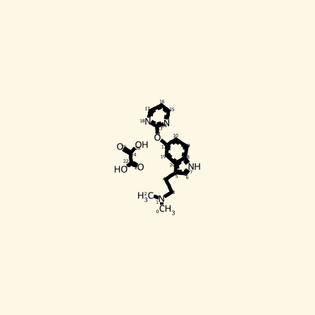 CN(C)CCc1c[nH]c2ccc(Oc3ncccn3)cc12.O=C(O)C(=O)O